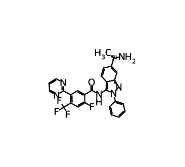 C[C@@H](N)c1ccc2c(NC(=O)c3cc(-c4ncccn4)c(C(F)(F)F)cc3F)n(-c3ccccc3)nc2c1